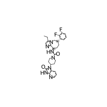 CCc1cnc2n1C[C@H](c1cccc(F)c1F)CC[C@H]2NC(=O)N1CCC(n2c(=O)[nH]c3ncccc32)CC1